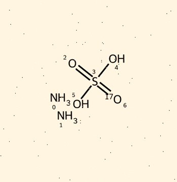 N.N.O=S(O)(O)=[17O]